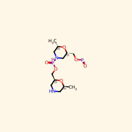 C[C@H]1CNC[C@@H](CO[PH](=O)N2C[C@@H](COP=O)O[C@@H](C)C2)O1